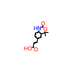 CC1(C)OC(=O)Nc2ccc(C=CC(=O)O)cc21